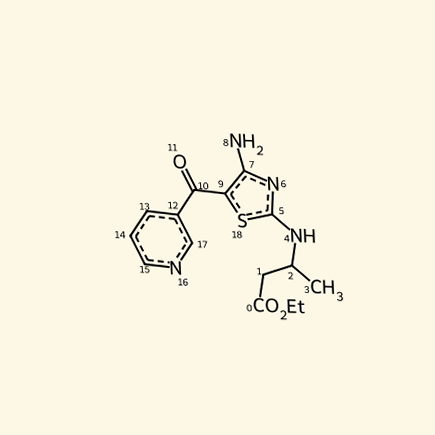 CCOC(=O)CC(C)Nc1nc(N)c(C(=O)c2cccnc2)s1